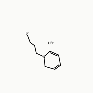 Br.BrCCCN1C=CC=CC1